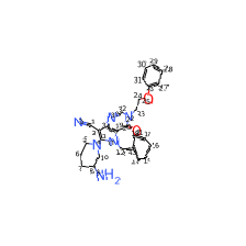 N#Cc1c(N2CCCC(N)C2)n(Cc2ccccc2)c2c(=O)n(CCOc3ccccc3)cnc12